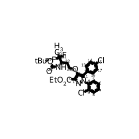 CCOC(=O)c1nn(-c2ccccc2Cl)c(-c2ccc(Cl)cc2)c1OCCC(NC(=O)OC(C)(C)C)C(C)(F)F